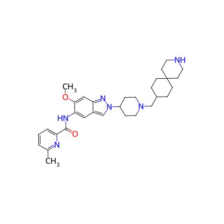 COc1cc2nn(C3CCN(CC4CCC5(CCNCC5)CC4)CC3)cc2cc1NC(=O)c1cccc(C)n1